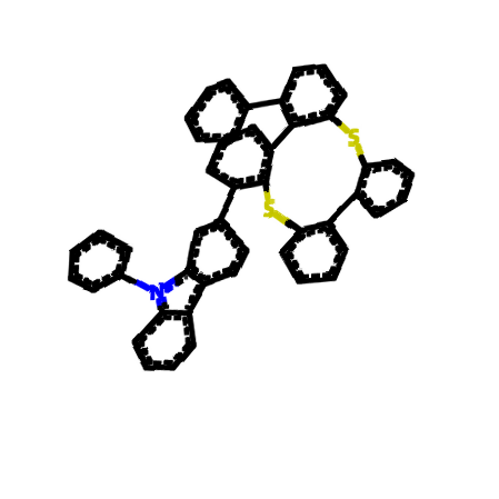 c1ccc(-c2cccc3c2-c2cccc(-c4ccc5c6ccccc6n(-c6ccccc6)c5c4)c2Sc2ccccc2-c2ccccc2S3)cc1